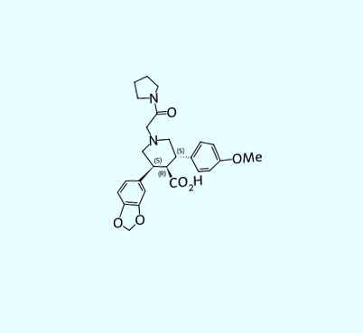 COc1ccc([C@H]2CN(CC(=O)N3CCCC3)C[C@H](c3ccc4c(c3)OCO4)[C@@H]2C(=O)O)cc1